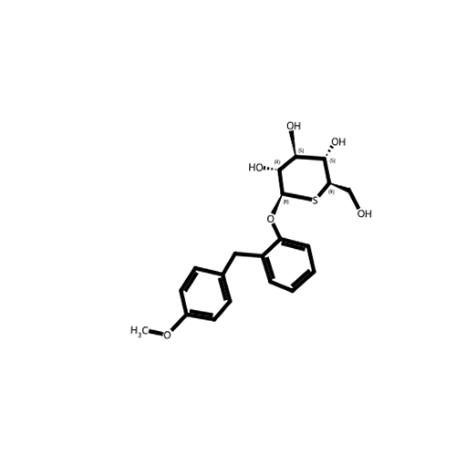 COc1ccc(Cc2ccccc2O[C@@H]2S[C@H](CO)[C@@H](O)[C@H](O)[C@H]2O)cc1